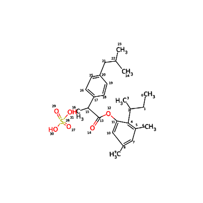 CCC(C)c1c(C)cc(C)cc1OC(=O)C(C)c1ccc(CC(C)C)cc1.O=S(=O)(O)O